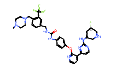 CN1CCN(Cc2ccc(CNC(=O)Nc3ccc(Oc4ncccc4-c4ccnc(NC5CNC[C@@H](F)C5)n4)cc3)cc2C(F)(F)F)CC1